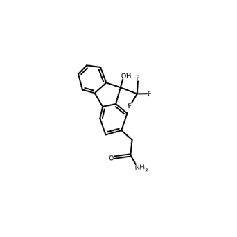 NC(=O)Cc1ccc2c(c1)C(O)(C(F)(F)F)c1ccccc1-2